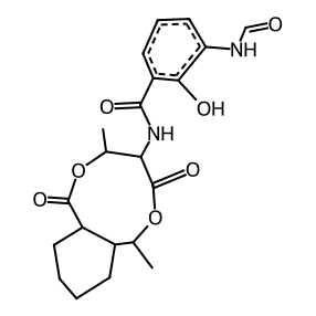 CC1OC(=O)C2CCCCC2C(C)OC(=O)C1NC(=O)c1cccc(NC=O)c1O